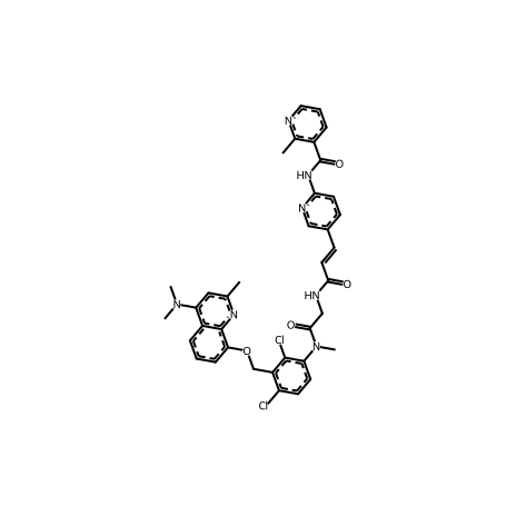 Cc1cc(N(C)C)c2cccc(OCc3c(Cl)ccc(N(C)C(=O)CNC(=O)/C=C/c4ccc(NC(=O)c5cccnc5C)nc4)c3Cl)c2n1